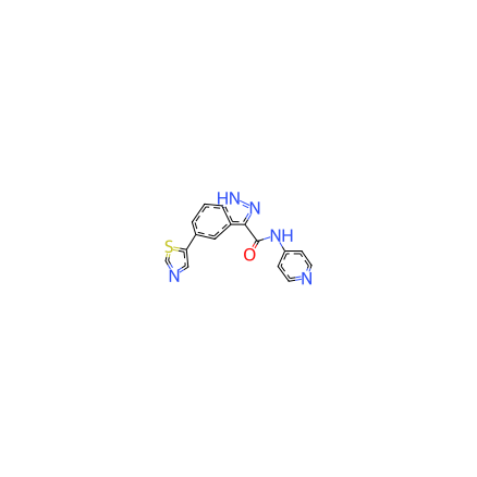 O=C(Nc1ccncc1)c1n[nH]c2ccc(-c3cncs3)cc12